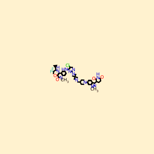 Cn1nc(C2CCC(=O)NC2=O)c2ccc(N3CCC(CN4CC5(C4)CN(c4ncc(Cl)c(Nc6ccc7c(c6)c6c(c(=O)n7C)OCC(F)(F)C(C7CC7)N6)n4)C5)CC3)cc21